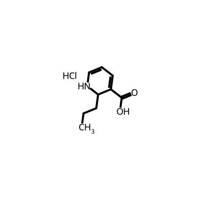 CCCC1NC=CC=C1C(=O)O.Cl